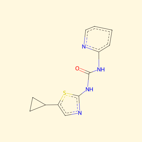 O=C(Nc1ccccn1)Nc1ncc(C2CC2)s1